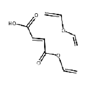 C=COC(=O)C=CC(=O)O.C=COC=C